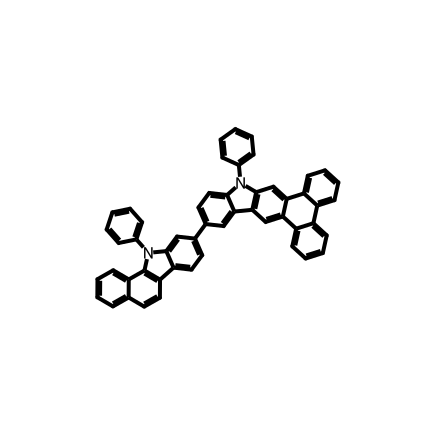 c1ccc(-n2c3ccc(-c4ccc5c6ccc7ccccc7c6n(-c6ccccc6)c5c4)cc3c3cc4c5ccccc5c5ccccc5c4cc32)cc1